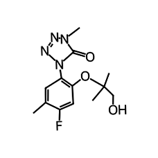 Cc1cc(-n2nnn(C)c2=O)c(OC(C)(C)CO)cc1F